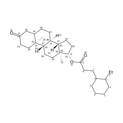 CCC1CCCCC1CCC(=O)O[C@H]1CC[C@H]2[C@@H]3CCC4CC(=O)CC[C@]4(C)[C@H]3CC[C@]12C